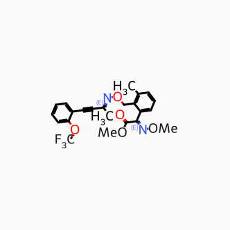 CO/N=C(/C(=O)OC)c1cccc(C)c1CO/N=C(\C)C#Cc1ccccc1OC(F)(F)F